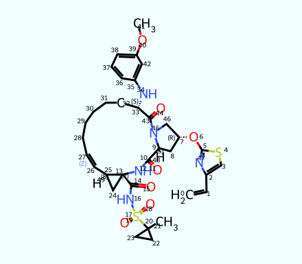 C=Cc1csc(O[C@@H]2C[C@H]3C(=O)N[C@]4(C(=O)NS(=O)(=O)C5(C)CC5)C[C@H]4/C=C\CCCCC[C@H](Nc4cccc(OC)c4)C(=O)N3C2)n1